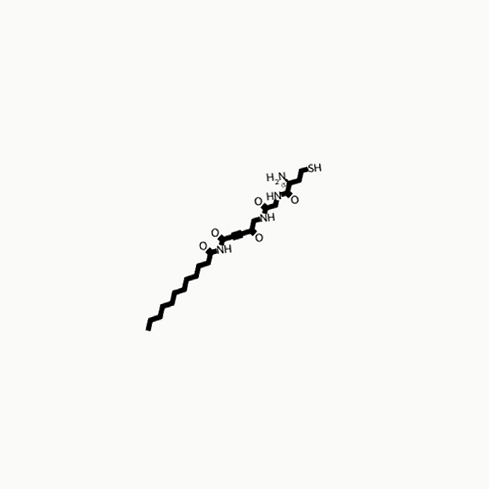 CCCCCCCCCCCC(=O)NC(=O)C#CC(=O)CNC(=O)CNC(=O)[C@@H](N)CCS